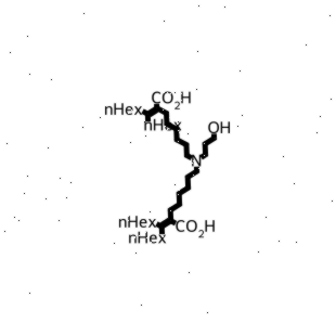 CCCCCCC(CCCCCC)=C(CCCCCCN(CCCO)CCCCCCC(C(=O)O)=C(CCCCCC)CCCCCC)C(=O)O